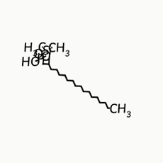 CCCCCCCCCCCCCCCCCCP(=O)(O)O[SiH](C)C